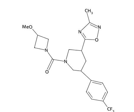 COC1CN(C(=O)N2CC(c3ccc(C(F)(F)F)cc3)CC(c3nc(C)no3)C2)C1